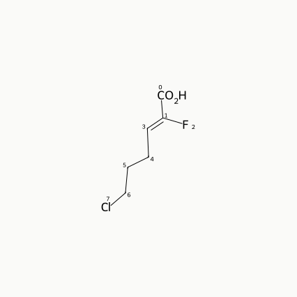 O=C(O)C(F)=CCCCCl